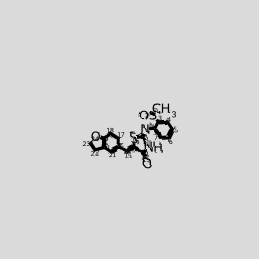 C[S+]([O-])c1ccccc1/N=C1\NC(=O)/C(=C/c2ccc3c(c2)CCO3)S1